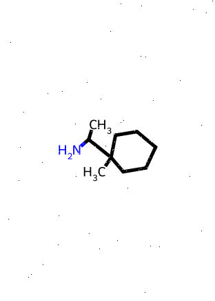 CC(N)C1(C)CCCCC1